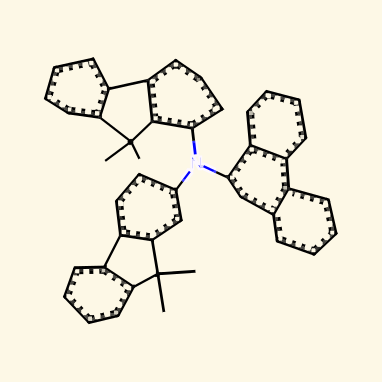 CC1(C)c2ccccc2-c2ccc(N(c3cccc4c3C(C)(C)c3ccccc3-4)c3cc4ccccc4c4ccccc34)cc21